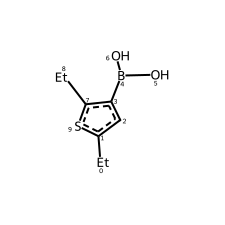 CCc1cc(B(O)O)c(CC)s1